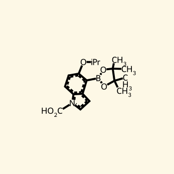 CC(C)Oc1ccc2c(ccn2C(=O)O)c1B1OC(C)(C)C(C)(C)O1